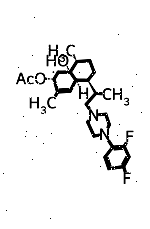 CC(=O)O[C@@H]1[CH][C@@]2(O)[C@H](C)CC[C@@H](C(C)CN3CCN(c4ccc(F)cc4F)CC3)[C@H]2C=C1C